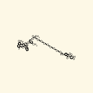 C#Cc1c(F)ccc2cc(O)cc(-c3ncc4c(N5CC6CCC(C5)N6)nc(OC[C@@]56CC[C@@H](COC(=O)N(C)CCOCCOCCOCCOCCOCCOCCOCCOCCNc7ccc8c(c7)C(=O)N(C7CCC(=O)NC7=O)C8=O)N5CC(=C)C6)nc4c3F)c12